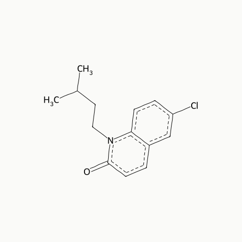 CC(C)CCn1c(=O)ccc2cc(Cl)ccc21